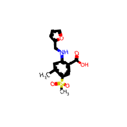 Cc1cc(NCc2ccco2)c(C(=O)O)cc1S(C)(=O)=O